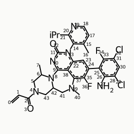 C=CC(=O)N1CC(C)N2c3nc(=O)n(-c4c(C)ccnc4C(C)C)c4cc(-c5c(N)c(Cl)cc(Cl)c5F)c(F)c(c34)N(C)CC2C1